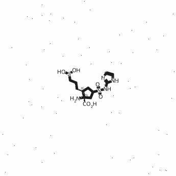 N[C@@]1(C(=O)O)CC(S(=O)(=O)Nc2ncc[nH]2)C[C@@H]1CCCB(O)O